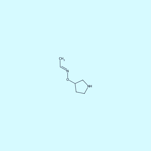 C/C=N/OC1CCNC1